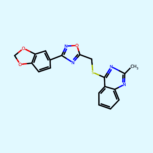 Cc1nc(SCc2nc(-c3ccc4c(c3)OCO4)no2)c2ccccc2n1